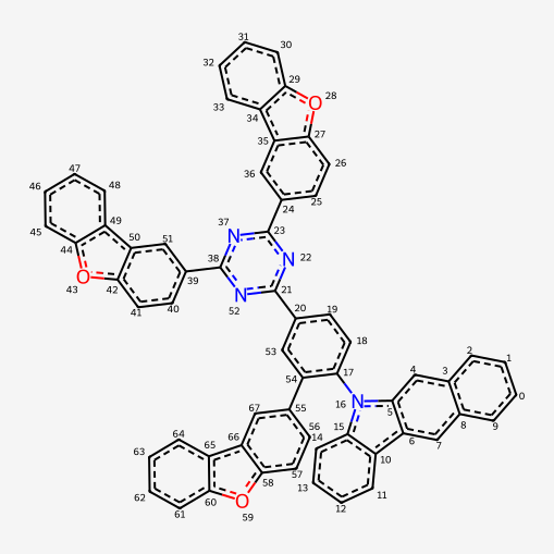 c1ccc2cc3c(cc2c1)c1ccccc1n3-c1ccc(-c2nc(-c3ccc4oc5ccccc5c4c3)nc(-c3ccc4oc5ccccc5c4c3)n2)cc1-c1ccc2oc3ccccc3c2c1